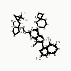 Oc1cc(-c2ncc3c(N4CCCC5(CCO5)C4)nc(OC[C@@]45CCCN4C[C@@]4(CC4(F)F)C5)nc3c2F)c2c(Cl)c(F)ccc2c1